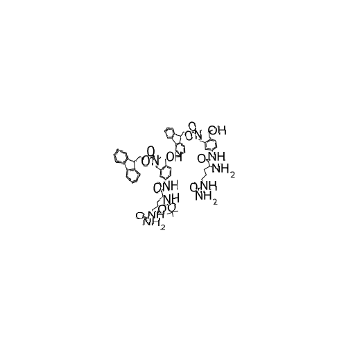 CN(Cc1cc(NC(=O)[C@@H](N)CCCNC(N)=O)ccc1CO)C(=O)OCC1c2ccccc2-c2ccccc21.CN(Cc1cc(NC(=O)[C@H](CCCNC(N)=O)NC(=O)OC(C)(C)C)ccc1CO)C(=O)OCC1c2ccccc2-c2ccccc21